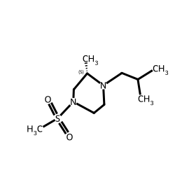 CC(C)CN1CCN(S(C)(=O)=O)C[C@@H]1C